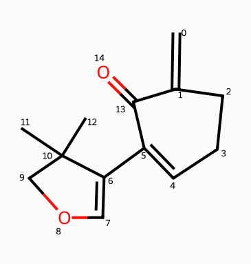 C=C1CCC=C(C2=COCC2(C)C)C1=O